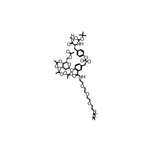 CNC(=O)[C@H](Cc1ccc(OS(=O)(=O)Cc2ccc(O[C@@H]3O[C@H](COC(C)=O)[C@H](OC(C)=O)[C@H](OC(C)=O)[C@H]3OC(C)=O)c(C(=O)NCCOCCOCCOCCN=[N+]=[N-])c2)cc1)NC(=O)OC(C)(C)C